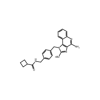 CCCCc1nc2c(N)nc3ccccc3c2n1Cc1ccc(CNC(=O)C2CCC2)cc1